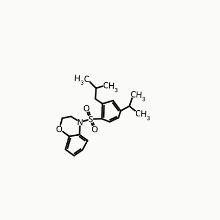 CC(C)Cc1cc(C(C)C)ccc1S(=O)(=O)N1CCOc2ccccc21